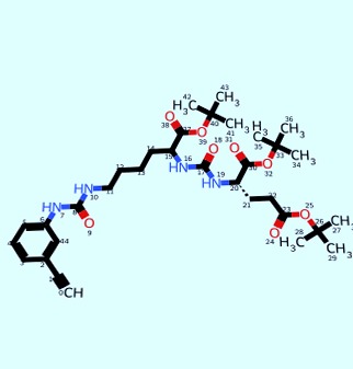 C#Cc1cccc(NC(=O)NCCCCC(NC(=O)N[C@@H](CCC(=O)OC(C)(C)C)C(=O)OC(C)(C)C)C(=O)OC(C)(C)C)c1